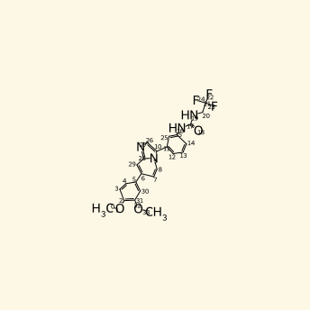 COc1ccc(-c2ccn3c(-c4cccc(NC(=O)NCC(F)(F)F)c4)cnc3c2)cc1OC